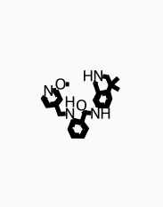 COc1cc(CNc2ccccc2C(=O)Nc2ccc3c(c2)CNCC3(C)C)ccn1